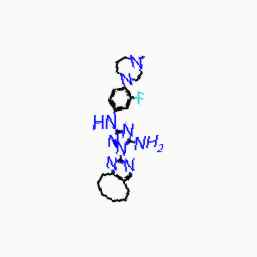 CN1CCCN(c2ccc(Nc3nc(N)n(-c4ncc5c(n4)CCCCCC5)n3)cc2F)CC1